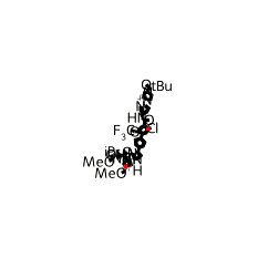 COC[C@H]1C[C@@H](c2nc(-c3ccc(-c4cc(Cl)c(C(=O)Nc5ccc(N6CCN(C(=O)C(C)(C)C)C[C@H]6C)nc5)cc4OC(F)(F)F)cc3)c[nH]2)N(C(=O)[C@@H](NC(O)OC)C(C)C)C1